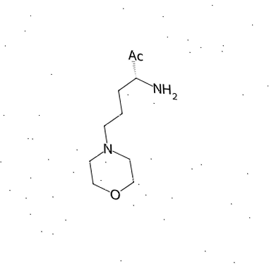 CC(=O)[C@H](N)CCCN1CCOCC1